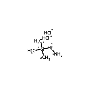 C[Si](C)(C)[Hf][NH2].Cl.Cl